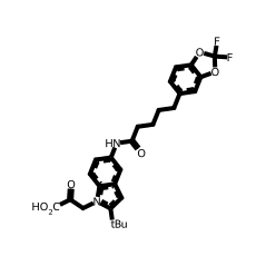 CC(C)(C)c1cc2cc(NC(=O)CCCCc3ccc4c(c3)OC(F)(F)O4)ccc2n1CC(=O)C(=O)O